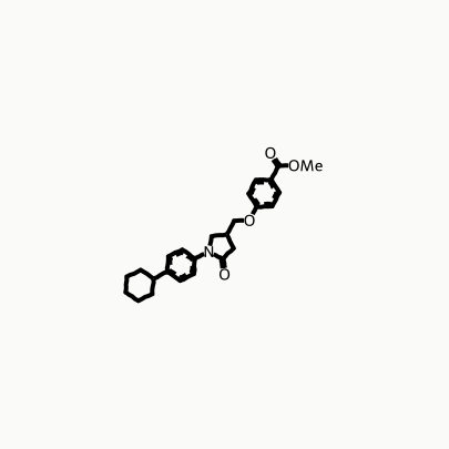 COC(=O)c1ccc(OCC2CC(=O)N(c3ccc(C4CCCCC4)cc3)C2)cc1